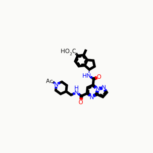 CC(=O)N1CCC(CNC(=O)c2cc(C(=O)N[C@H]3CCc4c3ccc(C(=O)O)c4C)n3nccc3n2)CC1